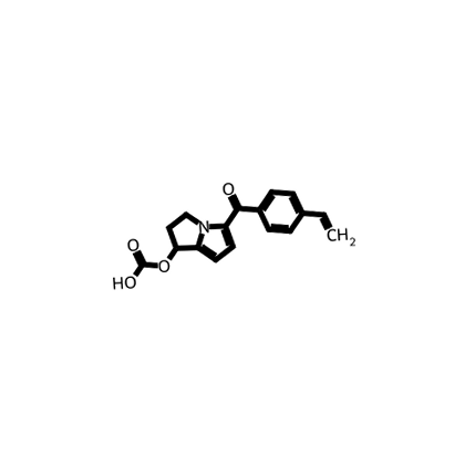 C=Cc1ccc(C(=O)c2ccc3n2CCC3OC(=O)O)cc1